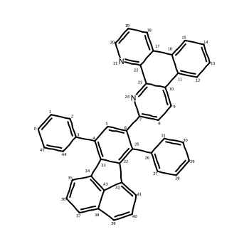 c1ccc(-c2cc(-c3ccc4c5ccccc5c5cccnc5c4n3)c(-c3ccccc3)c3c2-c2cccc4cccc-3c24)cc1